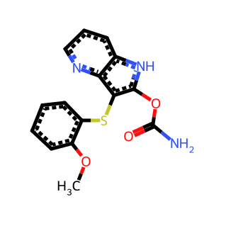 COc1ccccc1Sc1c(OC(N)=O)[nH]c2cccnc12